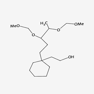 COCOC(C)C(CCC1(CCO)CCCCC1)OCOC